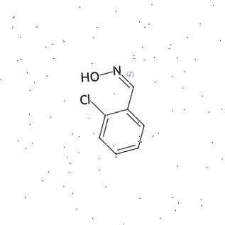 O/N=C\c1cc[c]cc1Cl